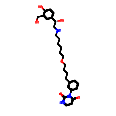 O=c1cc[nH]c(=O)n1-c1cccc(CCCCOCCCCCCNC[C@@H](O)c2ccc(O)c(CO)c2)c1